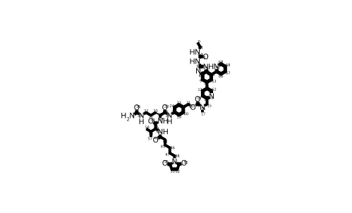 CCNC(=O)Nc1nc2cc(-c3ccc(CN(C)C(=O)OCc4ccc(NC(=O)[C@H](CCCNC(N)=O)NC(=O)C(NC(=O)CCCCCN5C(=O)C=CC5=O)C(C)C)cc4)nc3)cc(-c3ccccn3)c2[nH]1